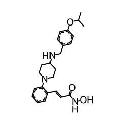 CC(C)Oc1ccc(CNC2CCN(c3ccccc3C=CC(=O)NO)CC2)cc1